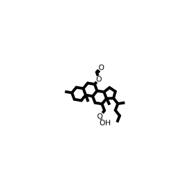 CCCC(C)C1CCC2C3C(OC=O)CC4CC(C)CCC4(C)C3CC(COO)C12C